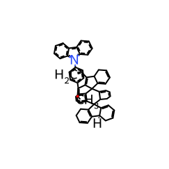 C=CC1=C(/C=C\C)C2(C3=CC=CCC31)C1=CC=CCC1C1(C3=CC=CC[C@H]3C3=C1CCC=C3)c1cccc(-c3ccc(-n4c5ccccc5c5ccccc54)cc3)c12